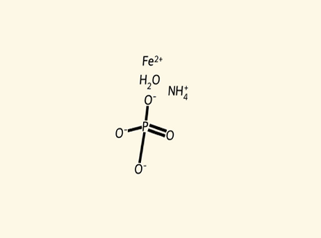 O.O=P([O-])([O-])[O-].[Fe+2].[NH4+]